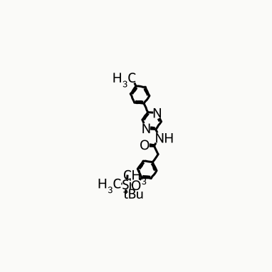 Cc1ccc(-c2cnc(NC(=O)Cc3ccc(O[Si](C)(C)C(C)(C)C)cc3)cn2)cc1